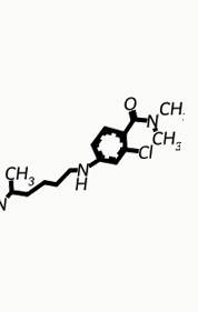 CNC(C)CCCCNc1ccc(C(=O)N(C)C)c(Cl)c1